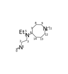 C=NCCN(CC)C1CCCN(C)CCC1